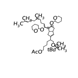 CC(=O)OCCCCC(CO[Si](C)(C)C(C)(C)C)C1=CC2C[C@@H](OC3CCCCO3)[C@H](C(=CCC[C@H](C)CCC=C(C)C)OC3CCCCO3)C2C1